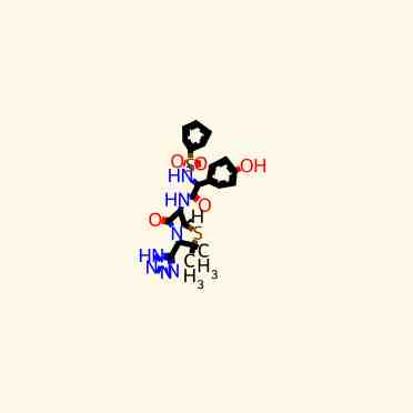 CC1(C)S[C@H]2C(NC(=O)C(NS(=O)(=O)c3ccccc3)c3ccc(O)cc3)C(=O)N2C1c1nnn[nH]1